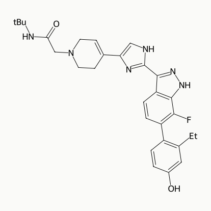 CCc1cc(O)ccc1-c1ccc2c(-c3nc(C4=CCN(CC(=O)NC(C)(C)C)CC4)c[nH]3)n[nH]c2c1F